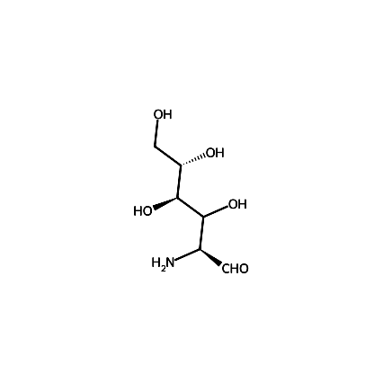 N[C@H](C=O)C(O)[C@@H](O)[C@@H](O)CO